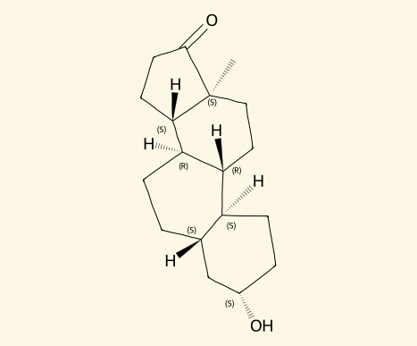 C[C@]12CC[C@H]3[C@@H](CC[C@H]4C[C@@H](O)CC[C@@H]43)[C@@H]1CCC2=O